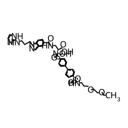 CCOCCOCCCNS(=O)(=O)c1ccc(-c2ccc(S(=O)(O)=NC(CNC(=O)c3ccc4c(cnn4CCCNc4ncc[nH]4)c3)C(=O)O)cc2)cc1